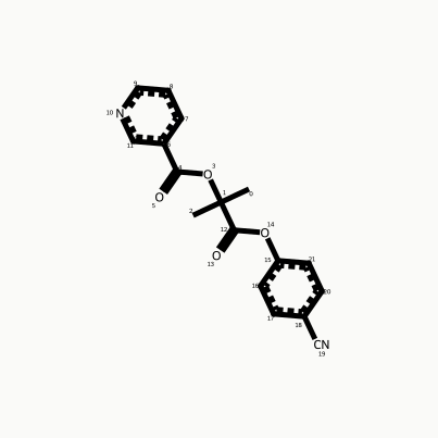 CC(C)(OC(=O)c1cccnc1)C(=O)Oc1ccc(C#N)cc1